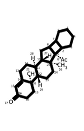 CC(=O)[C@@]12C3CCCCC3C1C[C@H]1[C@@H]3CCC4=CC(=O)CC[C@]4(C)[C@H]3CC[C@@]12C